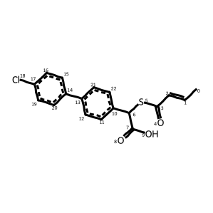 CC=CC(=O)SC(C(=O)O)c1ccc(-c2ccc(Cl)cc2)cc1